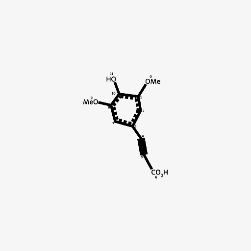 COc1cc(C#CC(=O)O)cc(OC)c1O